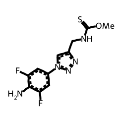 COC(=S)NCc1cn(-c2cc(F)c(N)c(F)c2)nn1